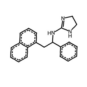 c1ccc(C(Cc2cccc3ccccc23)NC2=NCCN2)cc1